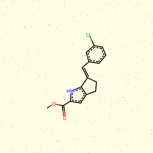 COC(=O)c1cc2c([nH]1)C(=Cc1cccc(Cl)c1)CC2